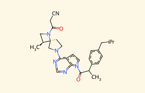 CC(C)Cc1ccc(C(C)C(=O)n2ccc3c(N4CC[C@]5(C4)[C@@H](C)CN5C(=O)CC#N)ncnc32)cc1